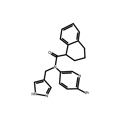 CC(C)c1ccc(N(Cc2cn[nH]c2)C(=O)C2CCCc3ccccc32)cn1